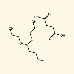 CCCCN(OCCO)OCCO.O=C(O)CCC(=O)O